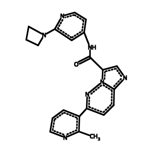 Cc1ncccc1-c1ccc2ncc(C(=O)Nc3ccnc(N4CCC4)c3)n2n1